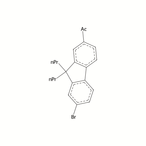 CCCC1(CCC)c2cc(Br)ccc2-c2ccc(C(C)=O)cc21